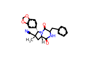 C[C@]1(C#N)C[C@H]2C(=O)NC(Cc3ccccc3)C(=O)N2[C@H]1c1ccc2c(c1)OCO2